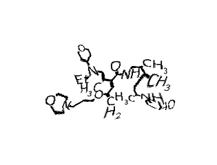 C=C(/C=C(C(=O)NCC(C)C(C)CC(C)NC=O)\C(C)=C\N(CC)C1CCOCC1)OCCCN1CCOCC1